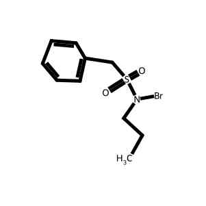 CCCN(Br)S(=O)(=O)Cc1ccccc1